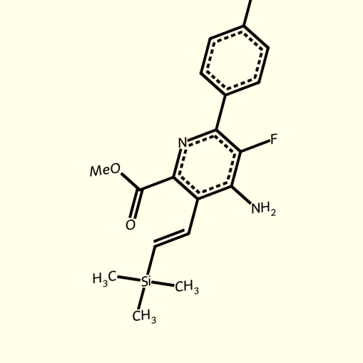 COC(=O)c1nc(-c2ccc(Cl)cc2)c(F)c(N)c1C=C[Si](C)(C)C